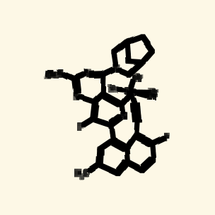 CSc1nc(N2CC3CCC(C3)C2)c2c(OC(C)C)nc(-c3cc(C)cc4ccc(F)c(C#C[Si](C(C)C)(C(C)C)C(C)C)c34)c(F)c2n1